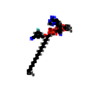 CCCCCCCCCCCCCCCCCCC[C@@H](COP(=O)(O)OC[C@@]1(C#N)OC(c2ccc3c(N)ncnn23)[C@@H]2OC(C)(C)O[C@@H]21)OCc1cc(F)cc(C#N)c1